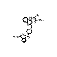 COC(=O)c1sccc1S(=O)(=O)N1CCN(Cc2nc(N[C@H](C(=O)OC)C(C)C)c3ccccc3n2)CC1